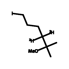 [2H]C([2H])(CCCI)C(C)(C)OC